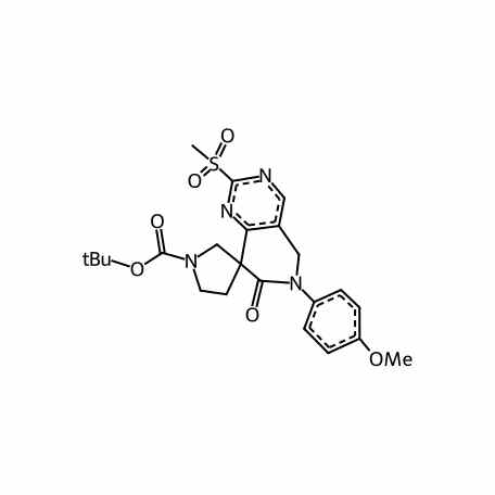 COc1ccc(N2Cc3cnc(S(C)(=O)=O)nc3C3(CCN(C(=O)OC(C)(C)C)C3)C2=O)cc1